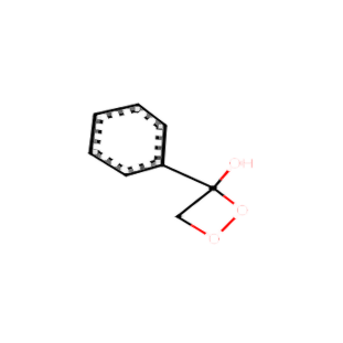 OC1(c2ccccc2)COO1